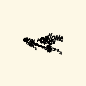 COc1ncc(-c2cc(OCCCCCCCC(=O)Nc3ccccc3N)c3ncnc(C)c3c2)cc1NS(=O)(=O)c1ccc(F)cc1F